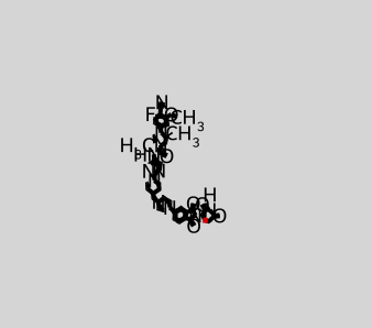 COc1cc(N2C[C@@H](C)N(C(=O)Nc3cnc(N4CCC(CN5CCN(c6ccc7c(c6)C(=O)N([C@@H]6CCC(=O)NC6=O)C7=O)CC5)CC4)nc3)C[C@@H]2C)cc(F)c1C#N